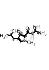 CC(C)Cc1cn(C)c(C(=O)NC(=N)N)c1F